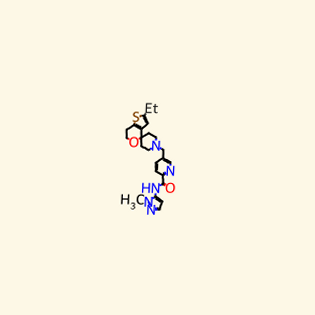 CCc1cc2c(s1)CCOC21CCN(Cc2ccc(C(=O)Nc3ccnn3C)nc2)CC1